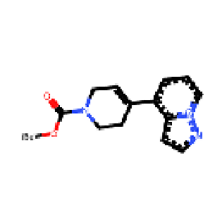 CC(C)(C)OC(=O)N1CC=C(c2cccn3nccc23)CC1